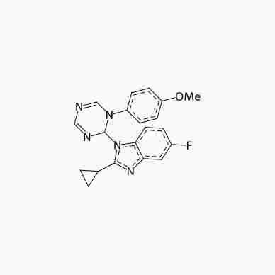 COc1ccc(N2C=NC=NC2n2c(C3CC3)nc3cc(F)ccc32)cc1